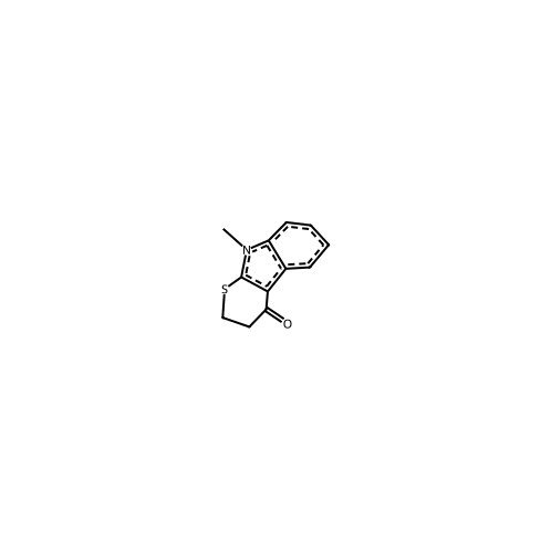 Cn1c2c(c3ccccc31)C(=O)CCS2